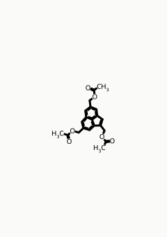 CC(=O)OCC1=Cc2cc(COC(C)=O)cc3cc(COC(C)=O)cc1c23